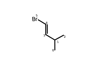 CC(C)C=CBr